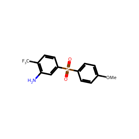 COc1ccc(S(=O)(=O)c2ccc(C(F)(F)F)c(N)c2)cc1